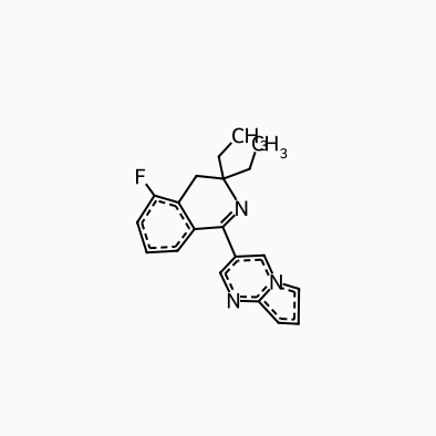 CCC1(CC)Cc2c(F)cccc2C(c2cnc3cccn3c2)=N1